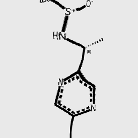 Cc1cnc([C@@H](C)N[S+]([O-])C(C)(C)C)cn1